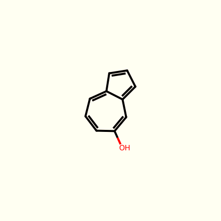 Oc1cccc2cccc-2c1